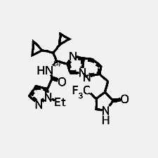 CCn1nccc1C(=O)N[C@H](c1cn2nc(CC3C(=O)NCC3C(F)(F)F)ccc2n1)C(C1CC1)C1CC1